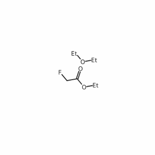 CCOC(=O)CF.CCOCC